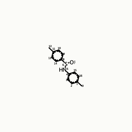 Cc1ccc(N[S+]([O-])c2ccc(C)cc2)cc1